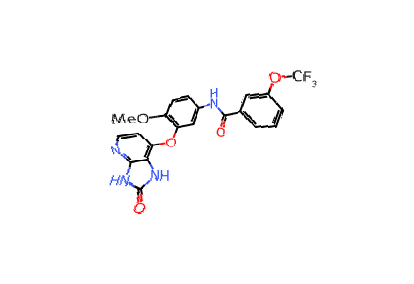 COc1ccc(NC(=O)c2cccc(OC(F)(F)F)c2)cc1Oc1ccnc2[nH]c(=O)[nH]c12